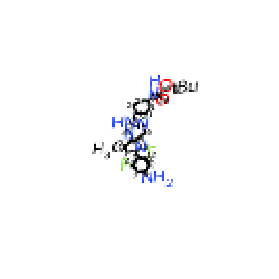 Cc1cc(-c2c(F)cc(N)cc2F)nc2cnc(N[C@H]3CC[C@H](NC(=O)OC(C)(C)C)CC3)nc12